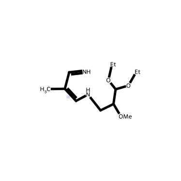 CCOC(OCC)C(CN/C=C(/C)C=N)OC